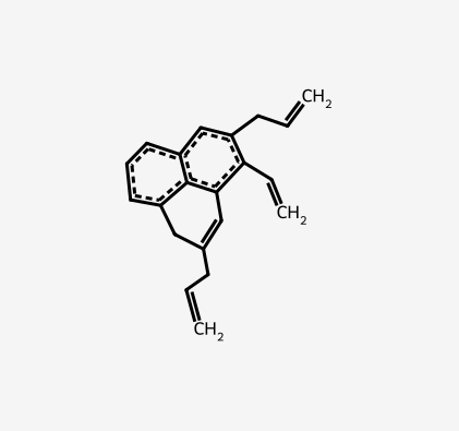 C=CCC1=Cc2c(C=C)c(CC=C)cc3cccc(c23)C1